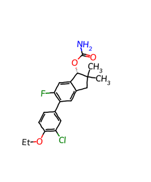 CCOc1ccc(-c2cc3c(cc2F)[C@H](OC(N)=O)C(C)(C)C3)cc1Cl